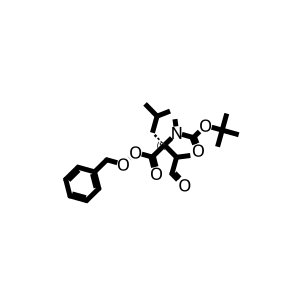 CC(C)C[C@@](C(=O)OOCc1ccccc1)(C(C)C=O)N(C)C(=O)OC(C)(C)C